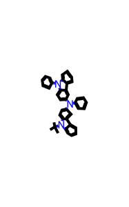 CC(C)(C)n1c2ccccc2c2cc(N(c3ccccc3)c3ccc4c(c3)c3ccccc3n4-c3ccccc3)ccc21